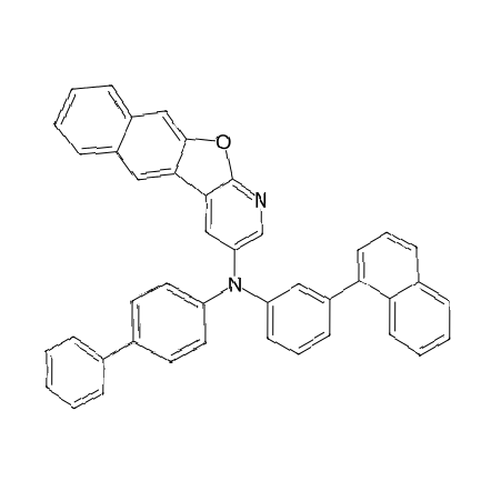 c1ccc(-c2ccc(N(c3cccc(-c4cccc5ccccc45)c3)c3cnc4oc5cc6ccccc6cc5c4c3)cc2)cc1